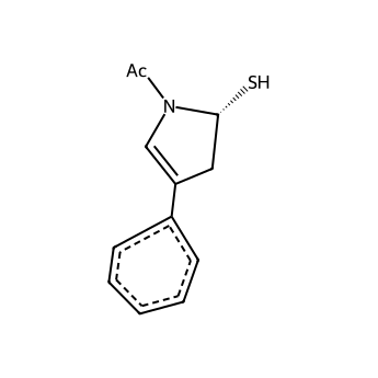 CC(=O)N1C=C(c2ccccc2)C[C@H]1S